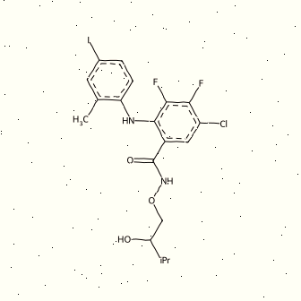 Cc1cc(I)ccc1Nc1c(C(=O)NOCC(O)C(C)C)cc(Cl)c(F)c1F